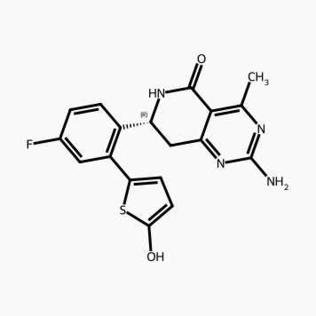 Cc1nc(N)nc2c1C(=O)N[C@@H](c1ccc(F)cc1-c1ccc(O)s1)C2